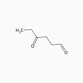 [CH2]CC(=O)CCC=O